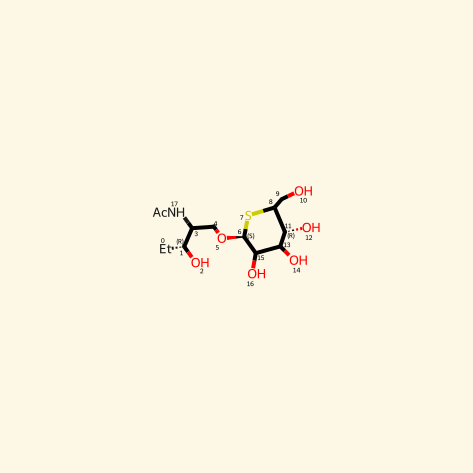 CC[C@@H](O)C(CO[C@H]1SC(CO)[C@H](O)C(O)C1O)NC(C)=O